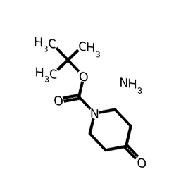 CC(C)(C)OC(=O)N1CCC(=O)CC1.N